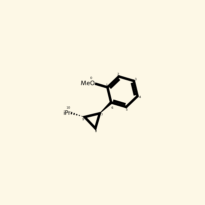 COc1ccccc1[C@H]1C[C@@H]1C(C)C